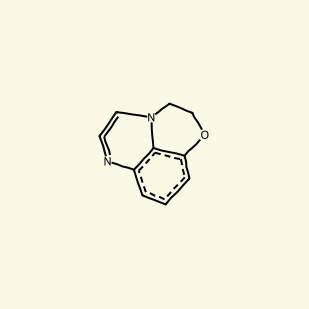 C1=CN2CCOc3cccc(c32)N=1